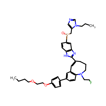 CCCCOCCOc1ccc(-c2ccc3c(c2)/C=C(/c2nc4cc([S@@+]([O-])Cc5cncn5CCC)ccc4[nH]2)CCCN3CCF)cc1